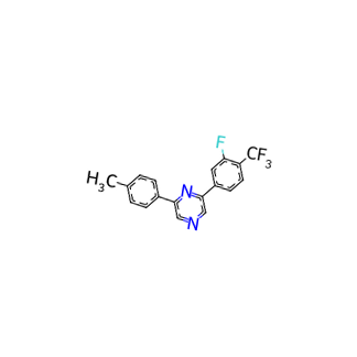 Cc1ccc(-c2cncc(-c3ccc(C(F)(F)F)c(F)c3)n2)cc1